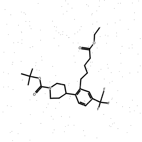 CCOC(=O)CCCCc1cc(C(F)(F)F)ccc1C1CCN(C(=O)OC(C)(C)C)CC1